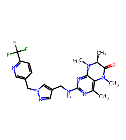 Cc1nc(NCc2cnn(Cc3ccc(C(F)(F)F)nc3)c2)nc2c1N(C)C(=O)[C@H](C)N2C